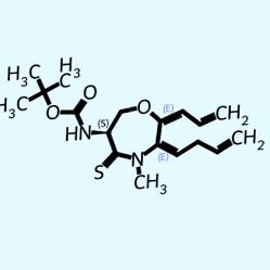 C=C/C=C1/OC[C@H](NC(=O)OC(C)(C)C)C(=S)N(C)/C1=C/CC=C